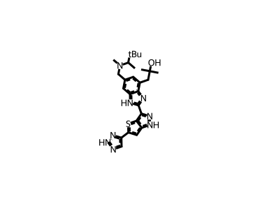 CC(N(C)Cc1cc(CC(C)(C)O)c2nc(-c3n[nH]c4cc(-c5cn[nH]n5)sc34)[nH]c2c1)C(C)(C)C